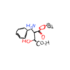 CC(C)(C)OC(=O)C(C(O)C(=O)O)C(N)c1ccccc1